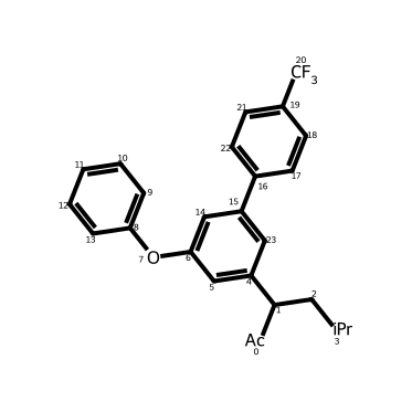 CC(=O)C(CC(C)C)c1cc(Oc2ccccc2)cc(-c2ccc(C(F)(F)F)cc2)c1